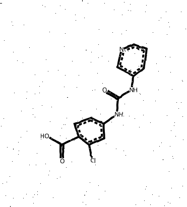 O=C(Nc1cccnc1)Nc1ccc(C(=O)O)c(Cl)c1